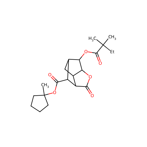 CCC(C)(C)C(=O)OC1C2CC3C1OC(=O)C3C2C(=O)OC1(C)CCCC1